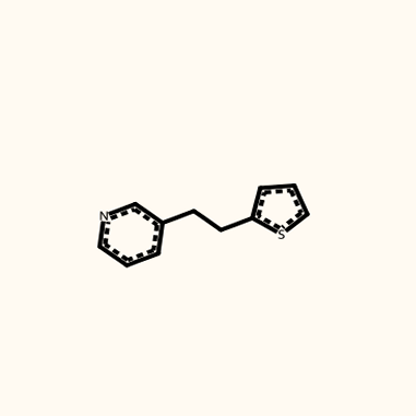 c1cncc(CCc2cccs2)c1